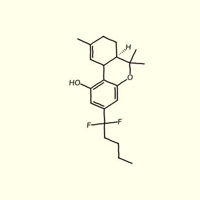 CCCCC(F)(F)c1cc(O)c2c(c1)OC(C)(C)[C@@H]1CCC(C)=CC21